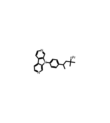 CCCC(C)(C)CC(C)c1ccc(-n2c3cnccc3c3ccncc32)cc1